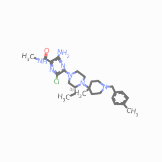 CC[C@H]1CN(c2nc(N)c(C(=O)NC)nc2Cl)CCN1C1(C)CCN(Cc2ccc(C)cc2)CC1